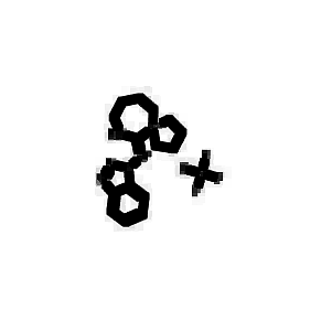 F[B-](F)(F)F.c1ccc2c(c1)nnn2[O+]=C1NCCCC[N+]12CCCC2